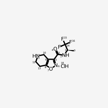 C[C@@H](NC(=O)c1noc2c1CNCC2)C(F)(F)F.Cl